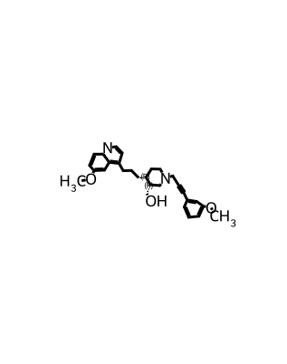 COc1cccc(C#CCN2CC[C@@H](CCCc3ccnc4ccc(OC)cc34)[C@@H](CO)C2)c1